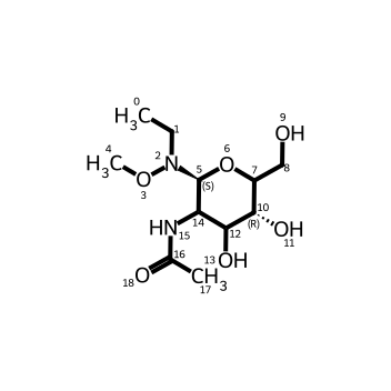 CCN(OC)[C@H]1OC(CO)[C@H](O)C(O)C1NC(C)=O